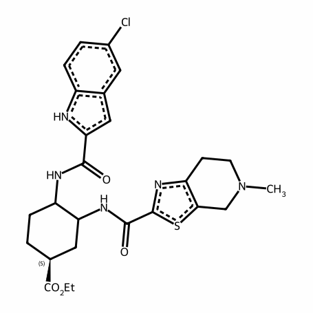 CCOC(=O)[C@H]1CCC(NC(=O)c2cc3cc(Cl)ccc3[nH]2)C(NC(=O)c2nc3c(s2)CN(C)CC3)C1